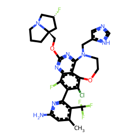 Cc1cc(N)nc(-c2c(Cl)c3c4c(nc(OC[C@@]56CCCN5C[C@H](F)C6)nc4c2F)N(Cc2cnc[nH]2)CCO3)c1C(F)(F)F